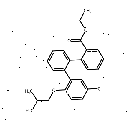 CCOC(=O)c1ccccc1-c1ccccc1-c1cc(Cl)ccc1OCC(C)C